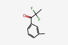 Cc1cccc(C(=O)C(C)(F)F)c1